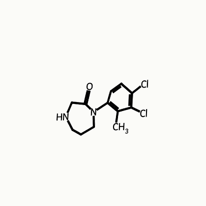 Cc1c(N2CCCNCC2=O)ccc(Cl)c1Cl